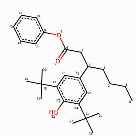 CCCCC(CC(=O)Oc1ccccc1)c1cc(C(C)(C)C)c(O)c(C(C)(C)C)c1